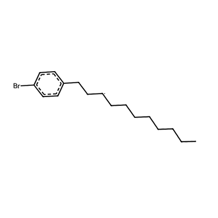 CCCCCCCC[CH]CCc1ccc(Br)cc1